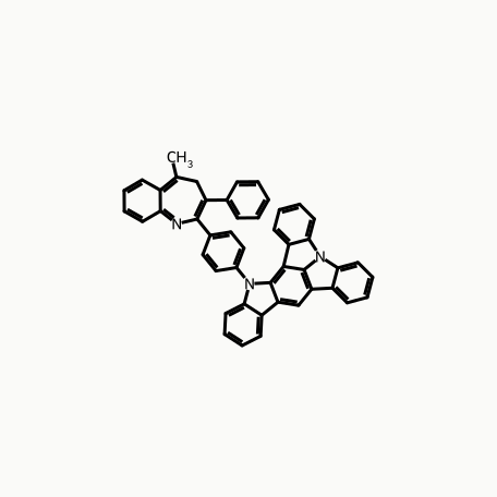 CC1=c2ccccc2=NC(c2ccc(-n3c4ccccc4c4cc5c6ccccc6n6c7ccccc7c(c43)c56)cc2)=C(c2ccccc2)C1